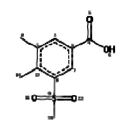 Cc1cc(C(=O)O)cc(S(C)(=O)=O)c1C